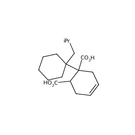 CC(C)CC1(C2(C(=O)O)CC=CCC2C(=O)O)CCCCC1